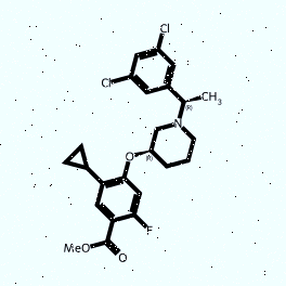 COC(=O)c1cc(C2CC2)c(O[C@@H]2CCCN([C@H](C)c3cc(Cl)cc(Cl)c3)C2)cc1F